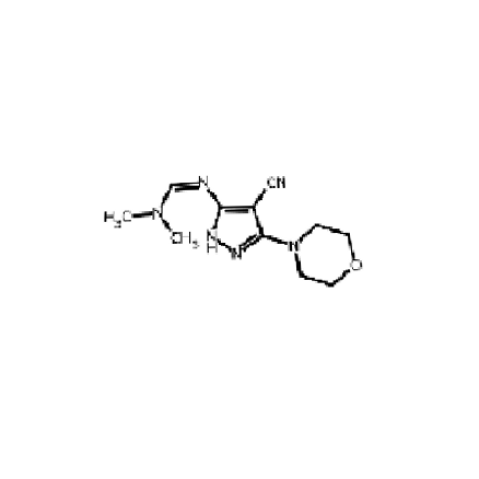 CN(C)/C=N\c1[nH]nc(N2CCOCC2)c1C#N